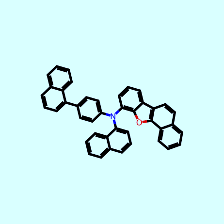 c1ccc2c(-c3ccc(N(c4cccc5ccccc45)c4cccc5c4oc4c6ccccc6ccc54)cc3)cccc2c1